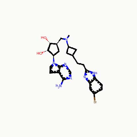 CN(C[C@H]1C[C@@H](n2ccc3c(N)ncnc32)[C@H](O)[C@@H]1O)C1CC(CCc2nc3cc(Br)ccc3[nH]2)C1